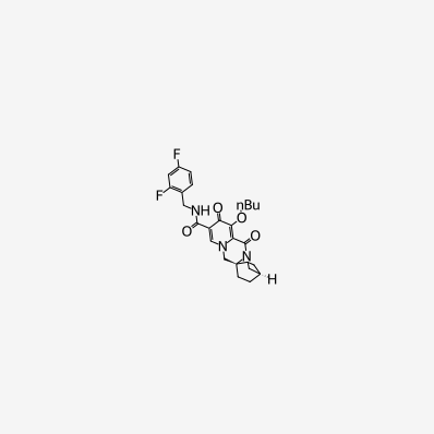 CCCCOc1c2n(cc(C(=O)NCc3ccc(F)cc3F)c1=O)C[C@]13CC[C@H](CC1)CN3C2=O